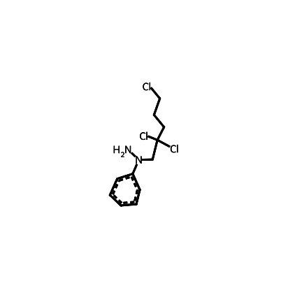 NN(CC(Cl)(Cl)CCCCl)c1ccccc1